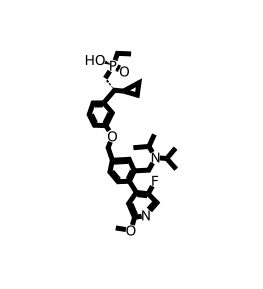 CC[P@@](=O)(O)C[C@@H](c1cccc(OCc2ccc(-c3cc(OC)ncc3F)c(CN(C(C)C)C(C)C)c2)c1)C1CC1